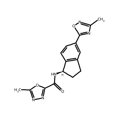 Cc1noc(-c2ccc3c(c2)CC[C@H]3NC(=O)c2nnc(C)o2)n1